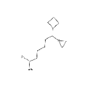 CCCC(CC)CCCCC(C1CCC1)N1CC1